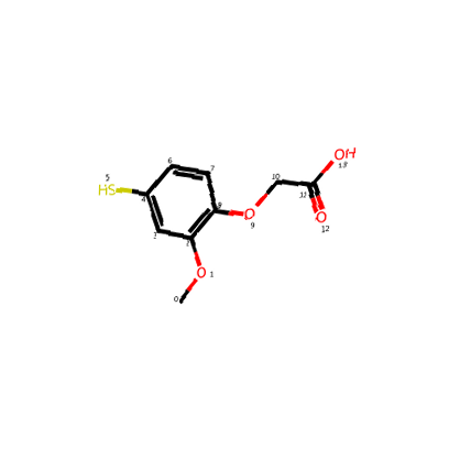 COc1cc(S)ccc1OCC(=O)O